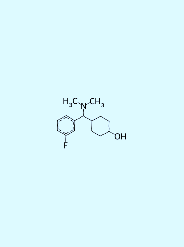 CN(C)C(c1cccc(F)c1)C1CCC(O)CC1